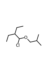 CCC(CC)C(Cl)OCC(C)C